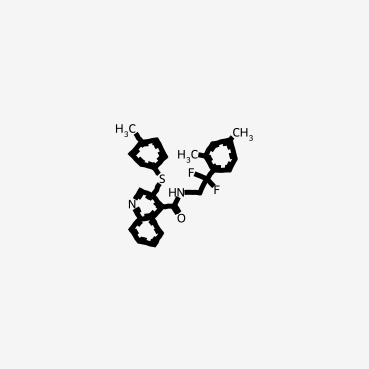 Cc1ccc(Sc2cnc3ccccc3c2C(=O)NCC(F)(F)c2ccc(C)cc2C)cc1